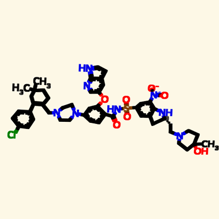 CC1(C)CCC(CN2CCN(c3ccc(C(=O)NS(=O)(=O)c4cc5c(c([N+](=O)[O-])c4)N[C@H](CCN4CCC(C)(O)CC4)C5)c(Oc4cnc5[nH]ccc5c4)c3)CC2)=C(c2ccc(Cl)cc2)C1